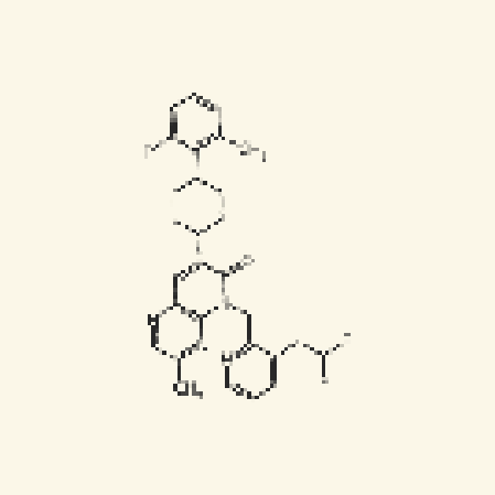 Cc1cnc2cc([C@H]3CC[C@H](c4c(C)cccc4F)CC3)c(=O)n(Cc3ncccc3CC(F)F)c2n1